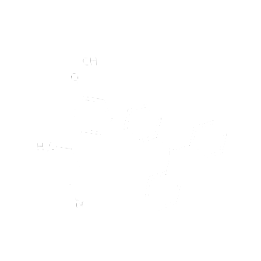 COc1cccc(C(C)CCBr)c1.c1ccc(P(c2ccccc2)c2ccccc2)cc1